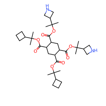 CC(C)(OC(=O)C1CC(C(=O)OC(C)(C)C2CCC2)C(C(=O)OC(C)(C)C2CNC2)CC1C(=O)OC(C)(C)C1CNC1)C1CCC1